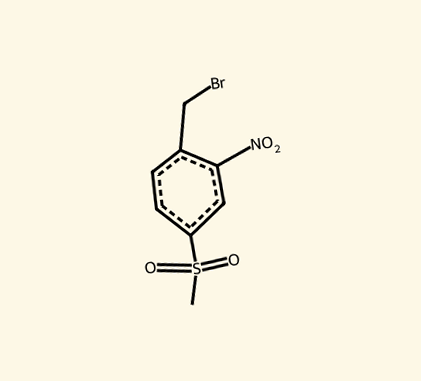 CS(=O)(=O)c1ccc(CBr)c([N+](=O)[O-])c1